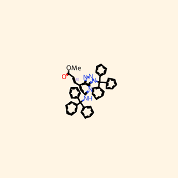 COC(=O)/C=C/c1cc(NC(c2ccccc2)(c2ccccc2)c2ccccc2)nc2c1nnn2C(c1ccccc1)(c1ccccc1)c1ccccc1